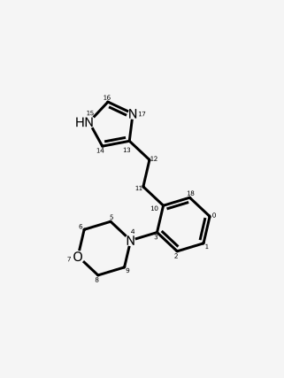 c1ccc(N2CCOCC2)c(CCc2c[nH]cn2)c1